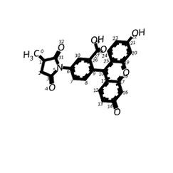 CC1CC(=O)N(c2ccc(-c3c4ccc(=O)cc-4oc4cc(O)ccc34)c(C(=O)O)c2)C1=O